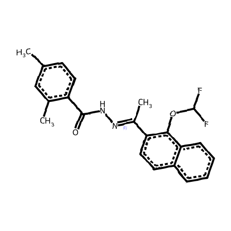 C/C(=N\NC(=O)c1ccc(C)cc1C)c1ccc2ccccc2c1OC(F)F